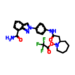 NC(=O)c1cccc2cn(-c3ccc(NC(=O)CC4CCCCCN4OC(=O)C(F)(F)F)cc3)nc12